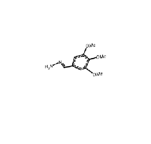 COc1cc(C=NN)cc(OC)c1OC